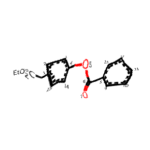 CCOC(=O)c1ccc(OC(=O)c2ccccc2)cc1